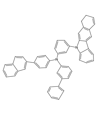 C1=Cc2cc3c4ccccc4n(-c4cccc(N(c5ccc(-c6ccc7ccccc7c6)cc5)c5cccc(-c6ccccc6)c5)c4)c3cc2CC1